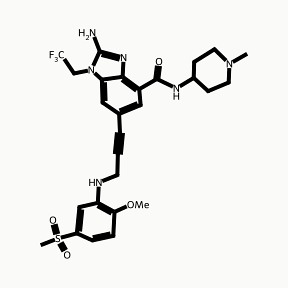 COc1ccc(S(C)(=O)=O)cc1NCC#Cc1cc(C(=O)NC2CCN(C)CC2)c2nc(N)n(CC(F)(F)F)c2c1